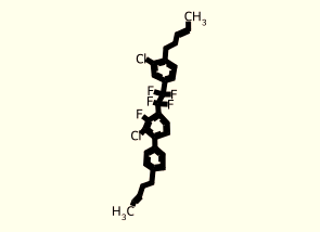 C/C=C/CCc1ccc(-c2ccc(C(F)(F)C(F)(F)c3ccc(CC/C=C/C)c(Cl)c3)c(F)c2Cl)cc1